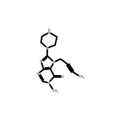 CC#CCn1c(N2CCNCC2)nc2ncn(C)c(=O)c21